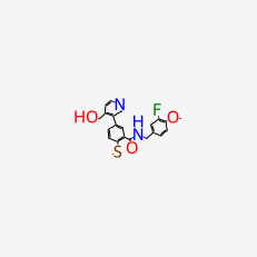 COc1ccc(CNC(=O)c2cc(-c3cnccc3CO)ccc2SC)cc1F